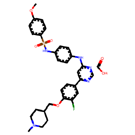 COc1ccc(S(=O)(=O)Nc2ccc(Nc3cc(-c4ccc(OCC5CCN(C)CC5)c(F)c4)ncn3)cc2)cc1.O=CO